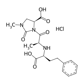 C[C@H](N[C@@H](CCc1ccccc1)C(=O)O)C(=O)N1C(=O)N(C)C[C@H]1C(=O)O.Cl